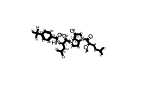 COC(CCC(C)C)C(=O)N1CC(=O)C2C1CCN2C(=O)C(CC(C)C)NC(=O)c1ccc(C(C)(C)C)cc1